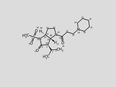 CC(C)[C@H]1C(=O)N(S(C)(=O)=O)[C@H]2CCN(C(=O)CCN3CCCCC3)[C@H]12